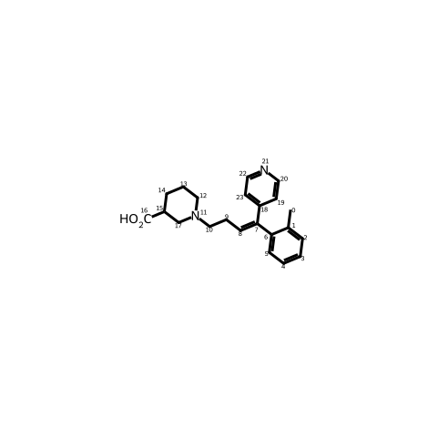 Cc1ccccc1/C(=C/CCN1CCCC(C(=O)O)C1)c1ccncc1